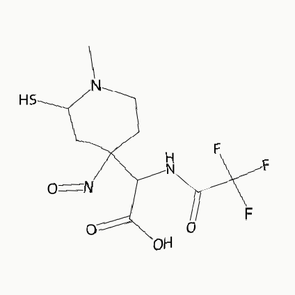 CN1CCC(N=O)(C(NC(=O)C(F)(F)F)C(=O)O)CC1S